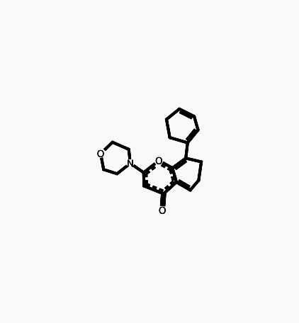 O=c1cc(N2CCOCC2)oc2c1=CCCC=2C1=CC=CCC1